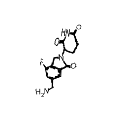 NCc1cc(F)c2c(c1)C(=O)N(C1CCC(=O)NC1=O)C2